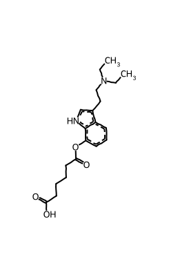 CCN(CC)CCc1c[nH]c2c(OC(=O)CCCCC(=O)O)cccc12